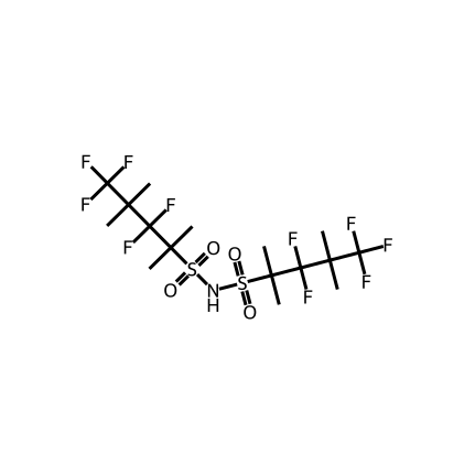 CC(C)(C(F)(F)F)C(F)(F)C(C)(C)S(=O)(=O)NS(=O)(=O)C(C)(C)C(F)(F)C(C)(C)C(F)(F)F